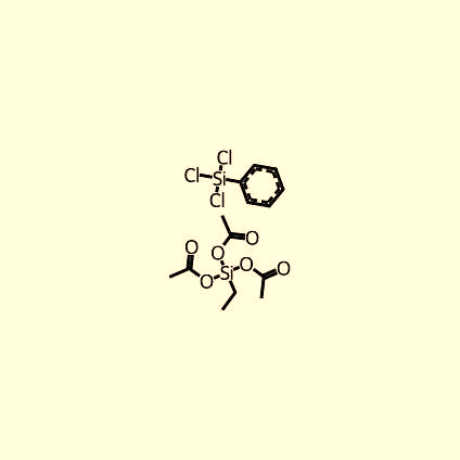 CC[Si](OC(C)=O)(OC(C)=O)OC(C)=O.Cl[Si](Cl)(Cl)c1ccccc1